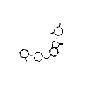 O=C1CCC(N2Cc3cc(CN4CCN(c5ccccc5Cl)CC4)ccc3C2=O)C(=O)N1